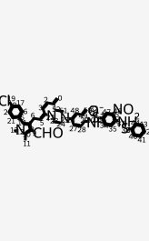 C=C/C=C\C(=C/Cc1c(C=O)c(C)n(C)c1-c1ccc(Cl)cc1)N1CCN(C(/C=C\CN[S+]([O-])c2ccc(NSc3ccccc3)c([N+](=O)[O-])c2)=C/C=C)CC1